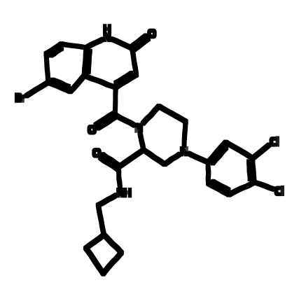 O=C(NCC1CCC1)C1CN(c2ccc(Cl)c(Cl)c2)CCN1C(=O)c1cc(=O)[nH]c2ccc(Br)cc12